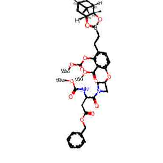 CC(C)(C)OC(=O)NC(CC(=O)OCc1ccccc1)C(=O)N1CC(Oc2ccc(CCB3O[C@@H]4C[C@@H]5C[C@@H](C5(C)C)[C@]4(C)O3)c(OC(=O)OC(C)(C)C)c2C(=O)OC(C)(C)C)C1